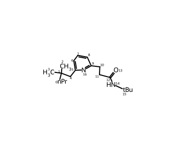 CCCC(C)(C)Cc1cccc(CCC(=O)NC(C)(C)C)n1